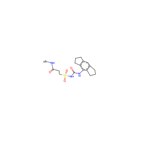 CCCNC(=O)CCS(=O)(=O)NC(=O)Nc1c2c(cc3c1CCC3)CCC2